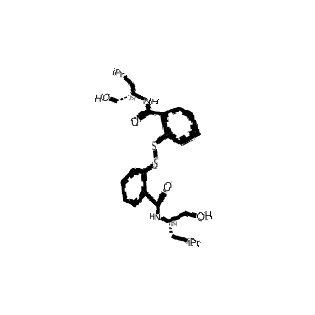 CC(C)C[C@@H](CO)NC(=O)c1ccccc1SSc1ccccc1C(=O)N[C@H](CO)CC(C)C